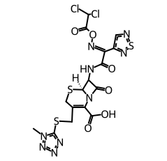 Cn1nnnc1SCC1=C(C(=O)O)N2C(=O)C(NC(=O)C(=NOC(=O)C(Cl)Cl)c3cnsn3)[C@@H]2SC1